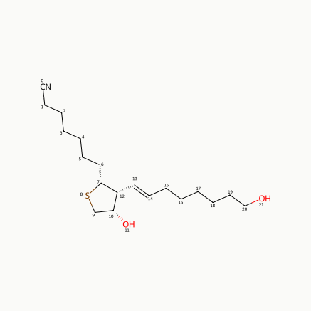 N#CCCCCCC[C@H]1SC[C@@H](O)[C@H]1C=CCCCCCCO